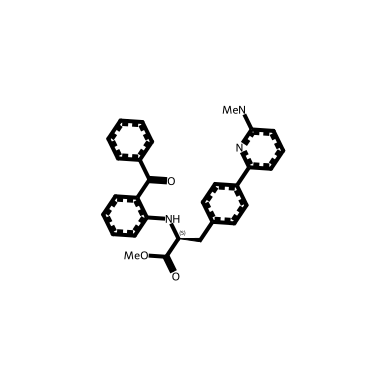 CNc1cccc(-c2ccc(C[C@H](Nc3ccccc3C(=O)c3ccccc3)C(=O)OC)cc2)n1